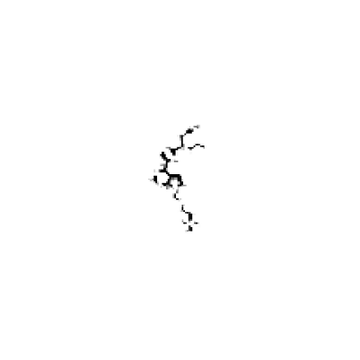 CCC[C@H](CC#N)c1ncc(-c2ncnc3c2ccn3COCC[Si](C)(C)C)s1